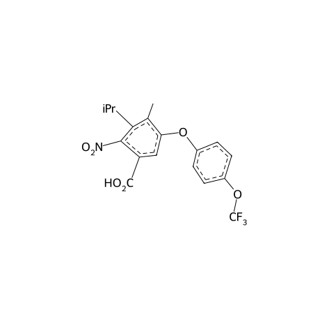 Cc1c(Oc2ccc(OC(F)(F)F)cc2)cc(C(=O)O)c([N+](=O)[O-])c1C(C)C